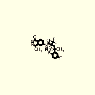 Cc1noc(=O)c2ccc(NC(=O)C(O)(CC(C)(C)c3cc(F)ccc3F)C(F)(F)F)cc12